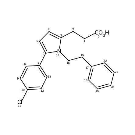 O=C(O)CCc1ccc(-c2ccc(Cl)cc2)n1CCc1ccccc1